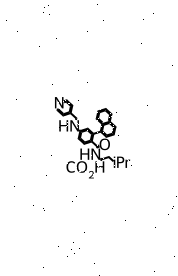 CC(C)C[C@H](NC(=O)c1ccc(NCc2ccncc2)cc1-c1cccc2ccccc12)C(=O)O